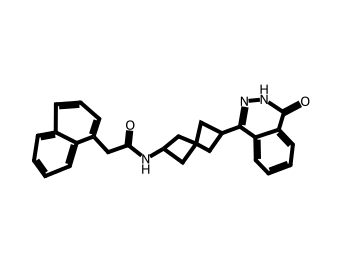 O=C(Cc1cccc2ccccc12)NC1CC2(C1)CC(c1n[nH]c(=O)c3ccccc13)C2